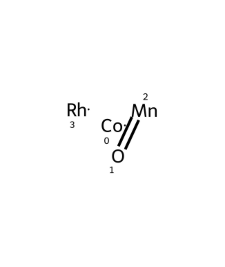 [Co].[O]=[Mn].[Rh]